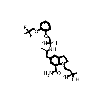 [2H]C(C)(O)CCN1CCc2cc(C[C@@H](C)NC([2H])([2H])COc3ccccc3OCC(F)(F)F)cc(C(N)=O)c21